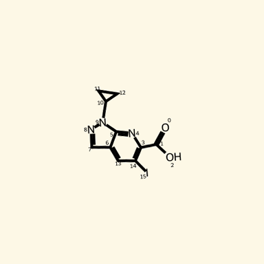 O=C(O)c1nc2c(cnn2C2CC2)cc1I